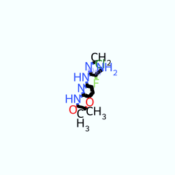 C=C(Cl)/N=C(Nc1ccc2c(n1)NC(=O)C(C)(C)O2)\C(F)=C/N